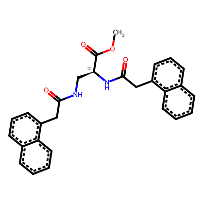 COC(=O)[C@H](CNC(=O)Cc1cccc2ccccc12)NC(=O)Cc1cccc2ccccc12